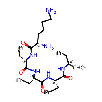 CC(C)C[C@@H]([C]=O)NC(=O)[C@H](CC(C)C)NC(=O)[C@H](CC(C)C)NC(=O)[C@H](CC(C)C)NC(=O)[C@@H](N)CCCCN